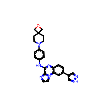 c1cn2c(n1)c(Nc1ccc(N3CCC4(CC3)COC4)cc1)nc1ccc(-c3cn[nH]c3)cc12